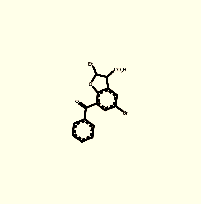 CCC1Oc2c(C(=O)c3ccccc3)cc(Br)cc2C1C(=O)O